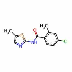 Cc1cnc(NC(=O)c2ccc(Cl)cc2C)s1